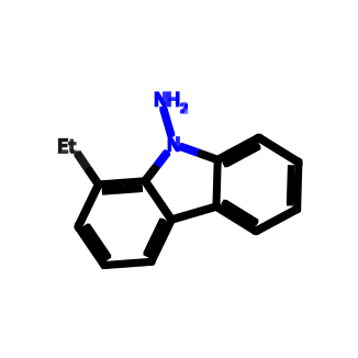 CCc1cccc2c3ccccc3n(N)c12